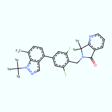 [2H]C1([2H])c2ncccc2C(=O)N1Cc1c(F)cc(-c2ccc(C(F)(F)F)c3c2cnn3C([2H])([2H])[2H])cc1F